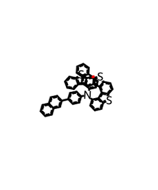 c1ccc2cc(-c3ccc(N(c4cccc5sc6ccccc6c45)c4cccc5sc6ccc7sc8c9ccccc9ccc8c7c6c45)cc3)ccc2c1